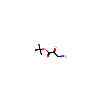 CC(C)(C)OC(=O)C(=O)CN